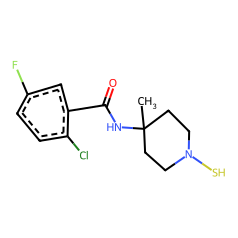 CC1(NC(=O)c2cc(F)ccc2Cl)CCN(S)CC1